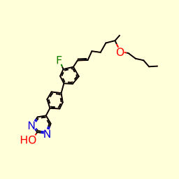 CCCCCOC(C)CCCC=Cc1ccc(-c2ccc(-c3cnc(O)nc3)cc2)cc1F